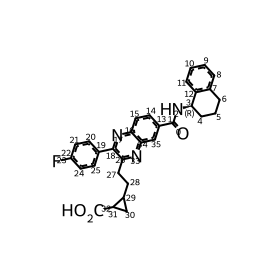 O=C(N[C@@H]1CCCc2ccccc21)c1ccc2nc(-c3ccc(F)cc3)c(CCC3CC3C(=O)O)nc2c1